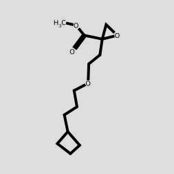 COC(=O)C1(CCOCCCC2CCC2)CO1